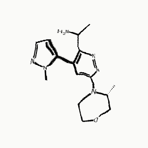 CC(N)c1nnc(N2CCOC[C@H]2C)cc1-c1ccnn1C